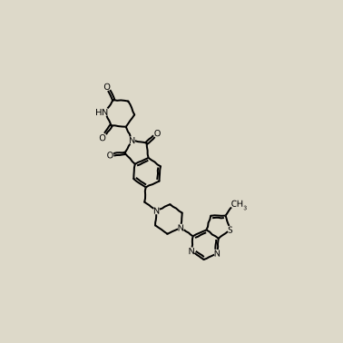 Cc1cc2c(N3CCN(Cc4ccc5c(c4)C(=O)N(C4CCC(=O)NC4=O)C5=O)CC3)ncnc2s1